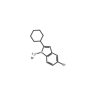 CCc1ccc2c(c1)cc(C1CCCCC1)[s+]2C(F)(F)F.[Br-]